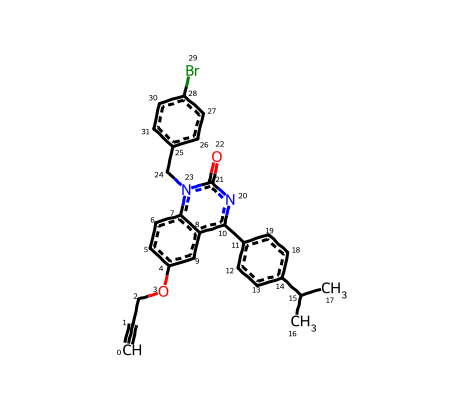 C#CCOc1ccc2c(c1)c(-c1ccc(C(C)C)cc1)nc(=O)n2Cc1ccc(Br)cc1